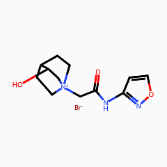 O=C(C[N+]12CCC(CC1)C(O)C2)Nc1ccon1.[Br-]